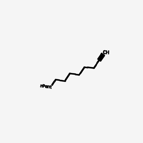 C#CCCCCCCCCCC[CH2]